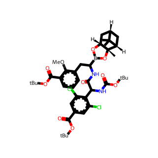 COc1c(CC(NC(=O)C(NC(=O)OC(C)(C)C)c2c(Cl)cc(C(=O)OC(C)(C)C)cc2Cl)B2O[C@@H]3C[C@@H]4C[C@@H](C4(C)C)[C@]3(C)O2)cccc1C(=O)OC(C)(C)C